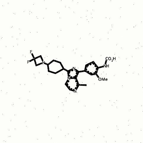 COc1cc(-c2nc(C3CCC(N4CC(F)(F)C4)CC3)n3ccnc(C)c23)ccc1NC(=O)O